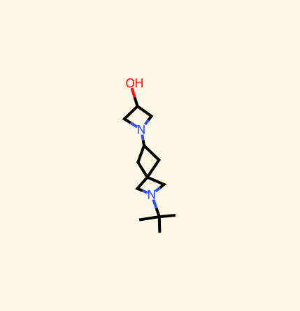 CC(C)(C)N1CC2(CC(N3CC(O)C3)C2)C1